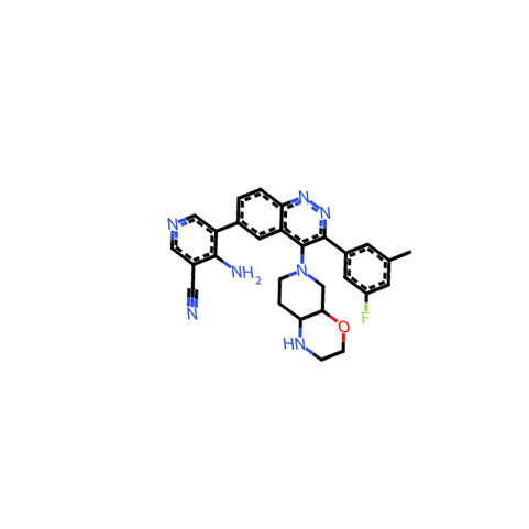 Cc1cc(F)cc(-c2nnc3ccc(-c4cncc(C#N)c4N)cc3c2N2CCC3NCCOC3C2)c1